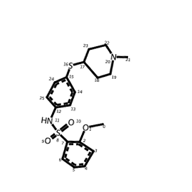 COc1ccccc1S(=O)(=O)Nc1ccc(SC2CCN(C)CC2)cc1